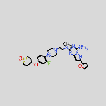 CN(CCN1CCN(c2ccc(O[C@H]3CC[S@@+]([O-])CC3)cc2F)CC1)c1nc(N)n2nc(-c3ccco3)cc2n1